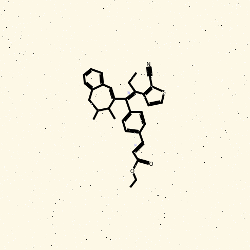 CCOC(=O)/C=C/c1ccc(/C(C2=Cc3ccccc3CC(C)C2C)=C(/CC)c2ccsc2C#N)cc1